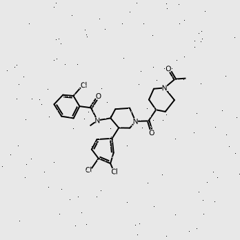 CC(=O)N1CCC(C(=O)N2CCC(N(C)C(=O)c3ccccc3Cl)C(c3ccc(Cl)c(Cl)c3)C2)CC1